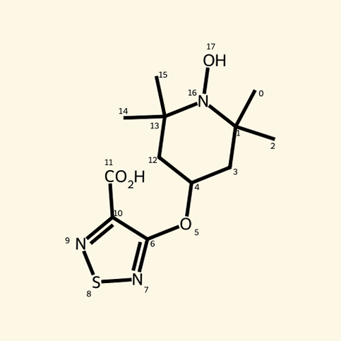 CC1(C)CC(Oc2nsnc2C(=O)O)CC(C)(C)N1O